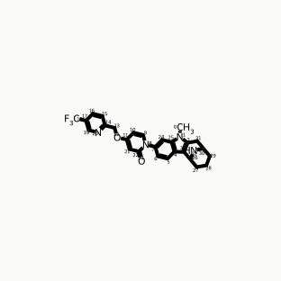 Cn1c2c(c3ccc(-n4ccc(OCc5ccc(C(F)(F)F)cn5)cc4=O)cc31)C1CCCC(C2)N1